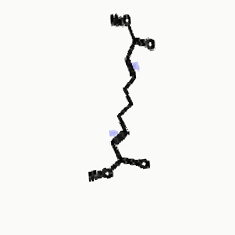 COC(=O)/C=C/CCC/C=C/C(=O)OC